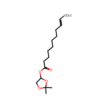 CCCCCCCCC=CCCCCCCCC(=O)OC1COC(C)(C)O1